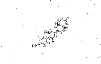 CCCc1ccc(-c2c(F)cc([C@@H]3CC[C@@H]4CC(C)CC[C@@H]4C3)cc2F)cc1